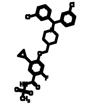 CS(=O)(=O)NC(=O)c1cc(C2CC2)c(OCC2CCN(C(c3cccc(Cl)c3)c3cccc(Cl)c3)CC2)cc1F